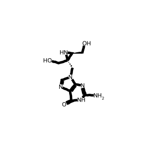 Nc1nc2c(ncn2C[C@]2(CO)N[C@H]2CO)c(=O)[nH]1